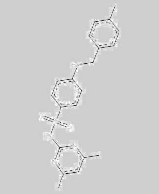 Cc1ccc(CNc2ccc(S(=O)(=O)Nc3nc(C)cc(C)n3)cc2)cc1